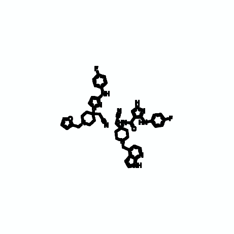 N#CCC1(NC(=O)c2c[nH]nc2Nc2ccc(F)cc2)CCN(Cc2ccnc3[nH]ccc23)CC1.N#CCC1(n2ccc(Nc3ccc(F)cc3)n2)CCN(Cc2ccco2)CC1